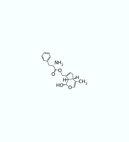 CC1=CO[C@@H](O)[C@@H]2C(COC(=O)[C@@H](N)Cc3ccccc3)=CC[C@H]12